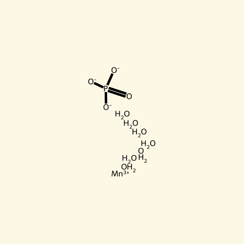 O.O.O.O.O.O.O.O=P([O-])([O-])[O-].[Mn+3]